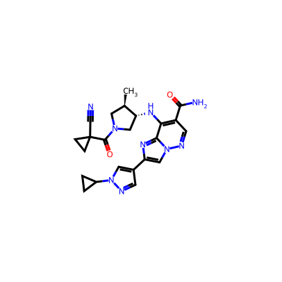 C[C@@H]1CN(C(=O)C2(C#N)CC2)C[C@H]1Nc1c(C(N)=O)cnn2cc(-c3cnn(C4CC4)c3)nc12